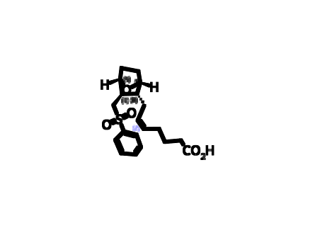 O=C(O)CCC/C=C\C[C@@H]1[C@@H](CS(=O)(=O)c2ccccc2)[C@@H]2CC[C@H]1O2